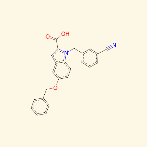 N#Cc1cccc(Cn2c(C(=O)O)cc3cc(OCc4ccccc4)ccc32)c1